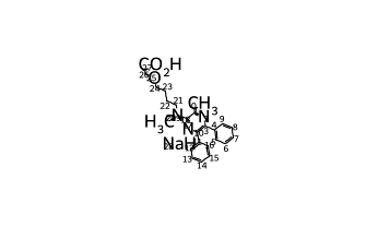 Cc1nc(-c2ccccc2)c(-c2ccccc2)nc1N(C)CCCCOCC(=O)O.[NaH]